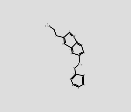 OCCc1cnc2ccc(OCc3ccccc3)cc2c1